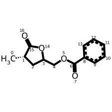 C[C@H]1CC(COC(=O)c2ccccc2)OC1=O